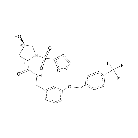 O=C(NCc1cccc(OCc2ccc(C(F)(F)F)cc2)c1)[C@@H]1C[C@@H](O)CN1S(=O)(=O)c1ccco1